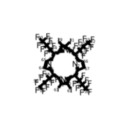 FC(F)(F)C(F)(F)C(F)(F)c1c2nc(c(C(F)(F)C(F)(F)C(F)(F)F)c3[nH]c(c(I)c3I)c(C(F)(F)C(F)(F)C(F)(F)F)c3nc(c(C(F)(F)C(F)(F)C(F)(F)F)c4[nH]c1c(I)c4I)C=C3)C=C2